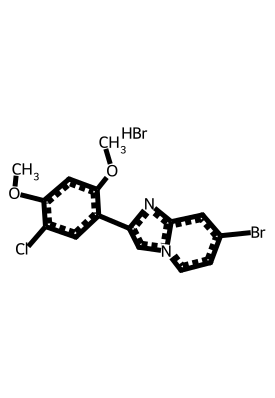 Br.COc1cc(OC)c(-c2cn3ccc(Br)cc3n2)cc1Cl